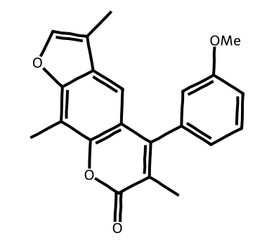 COc1cccc(-c2c(C)c(=O)oc3c(C)c4occ(C)c4cc23)c1